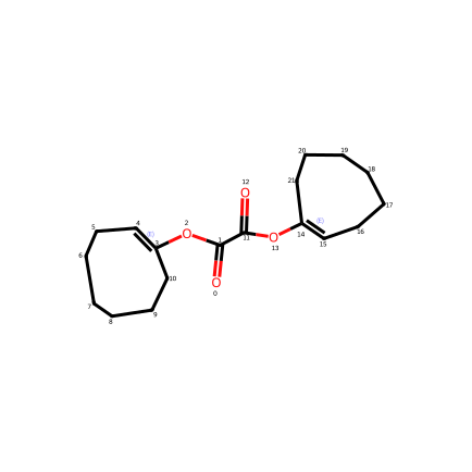 O=C(O/C1=C/CCCCCC1)C(=O)O/C1=C/CCCCCC1